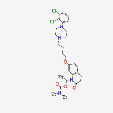 CCN(CC)C(=O)OC(C(C)C)N1C(=O)CCc2ccc(OCCCCN3CCN(c4cccc(Cl)c4Cl)CC3)cc21